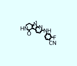 Cn1c2c(c3ccc(Nc4ccc(C#N)c(F)c4)nc31)C(=O)NCC2